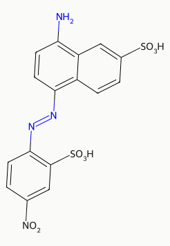 Nc1ccc(N=Nc2ccc([N+](=O)[O-])cc2S(=O)(=O)O)c2ccc(S(=O)(=O)O)cc12